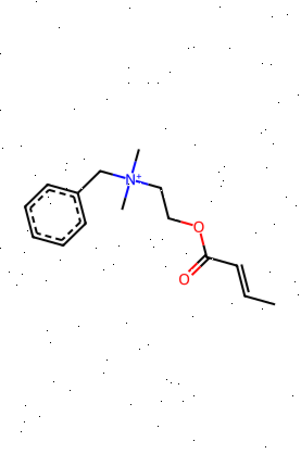 CC=CC(=O)OCC[N+](C)(C)Cc1ccccc1